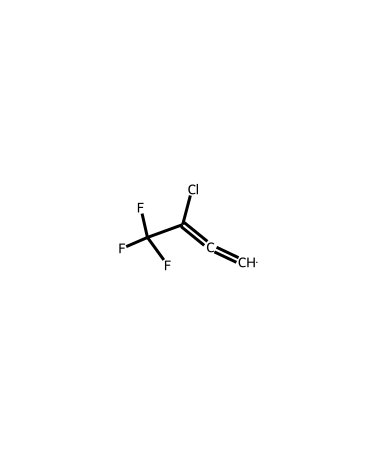 [CH]=C=C(Cl)C(F)(F)F